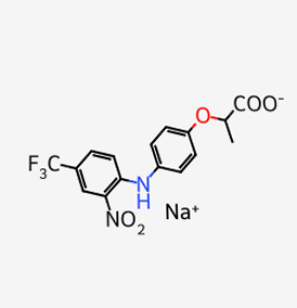 CC(Oc1ccc(Nc2ccc(C(F)(F)F)cc2[N+](=O)[O-])cc1)C(=O)[O-].[Na+]